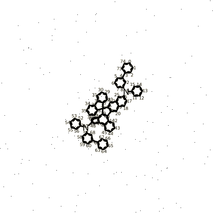 c1ccc(-c2cccc(N(c3ccccc3)c3ccc4cc5c(cc4c3)C3(c4ccccc4-c4ccccc43)c3c-5c4ccccc4c4cc(N(c5ccccc5)c5cccc(-c6ccccc6)c5)ccc34)c2)cc1